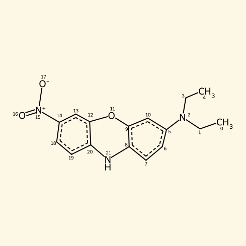 CCN(CC)c1ccc2c(c1)Oc1cc([N+](=O)[O-])ccc1N2